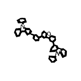 c1ccc(-n2c3ccccc3c3cc(-c4cccc(-c5ccc6oc7ccc(-c8ccc9c(c8)c8ccccc8n9-c8ccccc8)cc7c6c5)c4)ccc32)cc1